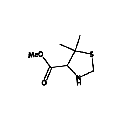 COC(=O)C1NCSC1(C)C